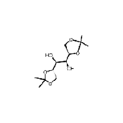 CC1(C)OC[C@@H]([C@@H](O)[C@H](O)[C@H]2COC(C)(C)O2)O1